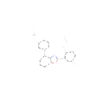 CCCNc1ccc(N)cc1-c1nc2c(-c3cccc(OC(F)(F)F)c3)cccc2o1